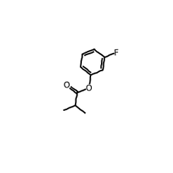 CC(C)C(=O)Oc1cccc(F)c1